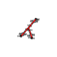 O=C(CCOCCC(COCCC(=O)NCCOCCOCCOC(O)C(O)C(O)C(O)CCOP(=O)(O)O)OCCC(=O)NCCOCCOCCOC(O)C(O)C(O)C(O)CCOP(=O)(O)O)NCCOCCOCCOC(O)C(O)C(O)C(O)CCOP(=O)(O)O